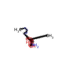 CCCCC/C=C\C/C=C\C/C=C\C/C=C\CCCCCC(=O)OC[C@H](COP(=O)(O)OC[C@H](N)C(=O)O)OC(=O)CCCCCCCCCCCCCCCCCC